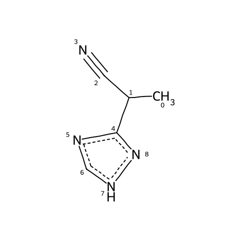 CC(C#N)c1nc[nH]n1